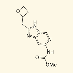 COC(=O)Nc1cc2nc(CC3CCO3)[nH]c2cn1